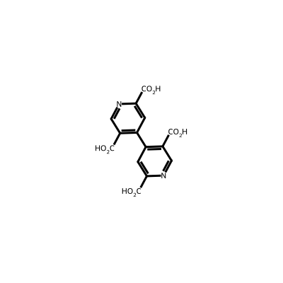 O=C(O)c1cc(-c2cc(C(=O)O)ncc2C(=O)O)c(C(=O)O)cn1